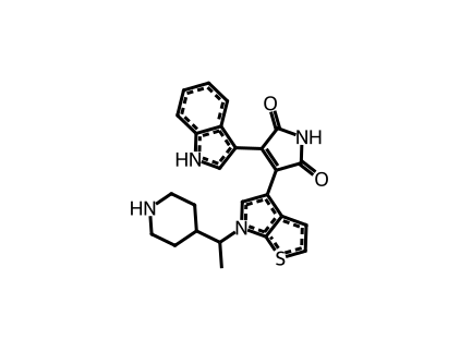 CC(C1CCNCC1)n1cc(C2=C(c3c[nH]c4ccccc34)C(=O)NC2=O)c2ccsc21